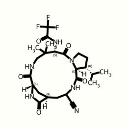 CC(C)[C@H]1CCN2C(=O)[C@@H](NC(=O)C(F)(F)F)C(C)(C)CNC(=O)[C@@H]3C[C@@H](CC(C#N)NC(=O)[C@H]12)C(=O)N3